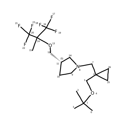 CC(C)(C)OCC1(CN2CC[C@H](COC(C)(C(F)(F)F)C(F)(F)F)C2)CC1